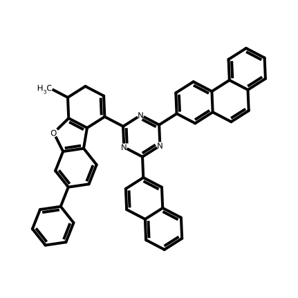 CC1CC=C(c2nc(-c3ccc4ccccc4c3)nc(-c3ccc4c(ccc5ccccc54)c3)n2)c2c1oc1cc(-c3ccccc3)ccc21